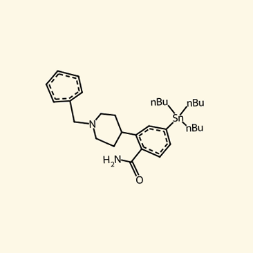 CCC[CH2][Sn]([CH2]CCC)([CH2]CCC)[c]1ccc(C(N)=O)c(C2CCN(Cc3ccccc3)CC2)c1